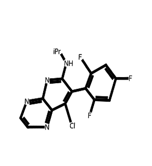 CC(C)Nc1nc2nccnc2c(Cl)c1-c1c(F)cc(F)cc1F